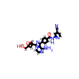 N#Cc1ccnc(NC(=O)c2ccc(-c3nc(C45COC(CO)(C4)C5)n4ccnc(N)c34)cc2)c1